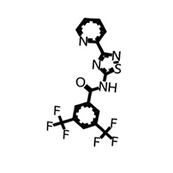 O=C(Nc1nc(-c2ccccn2)ns1)c1cc(C(F)(F)F)cc(C(F)(F)F)c1